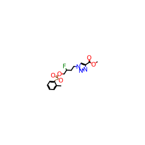 COC(=O)c1cn(CCC(F)COS(=O)(=O)c2ccccc2C)nn1